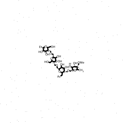 CC[C@@H]1OC(CO)[C@H](COC[C@@H]2OC(CO)[C@@H](COC[C@@H]3OC(CC(C)=O)[C@@H](COC[C@@H]4OC(C)[C@@H](COC)[C@@H](O)C4O)[C@@H](O)C3O)[C@@H](O)C2O)[C@@H](O)C1O